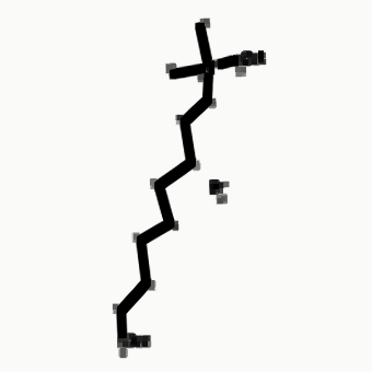 CCCCCCCCCCCCCCCCCC[N+](C)(C)CCCCCCCC.[Br-]